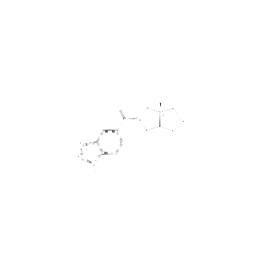 Cl.O=C(c1ccc2[nH]nnc2c1)N1C[C@@H]2CNC[C@H]2C1